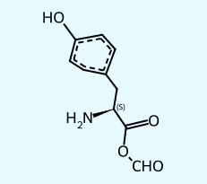 N[C@@H](Cc1ccc(O)cc1)C(=O)OC=O